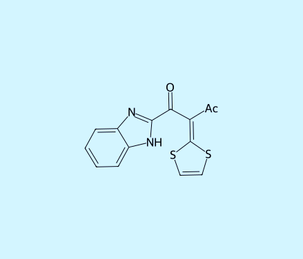 CC(=O)C(C(=O)c1nc2ccccc2[nH]1)=C1SC=CS1